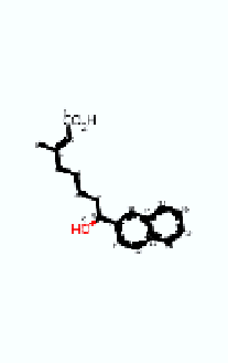 CC(=CC(=O)O)CCCCC(O)c1ccc2ccccc2c1